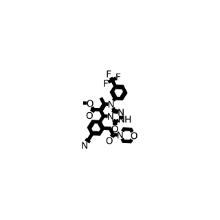 COC(=O)C1=C(C)N(c2cccc(C(F)(F)F)c2)c2n[nH]c(=O)n2C1c1ccc(C#N)cc1CC(=O)N1CCOCC1